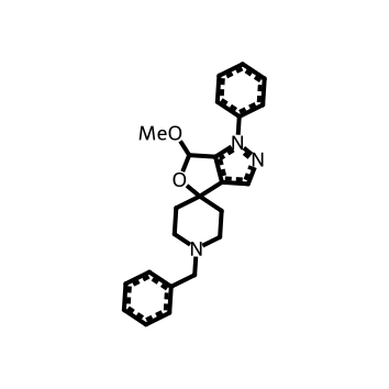 COC1OC2(CCN(Cc3ccccc3)CC2)c2cnn(-c3ccccc3)c21